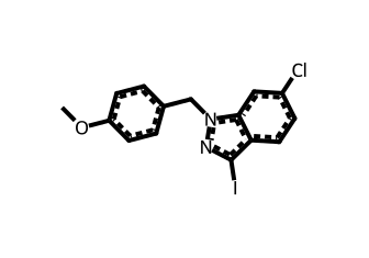 COc1ccc(Cn2nc(I)c3ccc(Cl)cc32)cc1